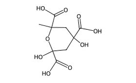 CC1(C(=O)O)CC(O)(C(=O)O)CC(O)(C(=O)O)O1